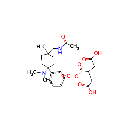 CC(=O)NCC1(C)CCC(c2ccccc2)(N(C)C)CC1.O=C(O)CC(CC(=O)O)C(=O)OO